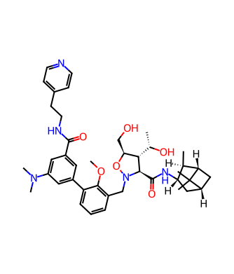 COc1c(CN2O[C@@H](CO)[C@H]([C@H](C)O)[C@H]2C(=O)N[C@H]2C[C@H]3C[C@@H]([C@@H]2C)C3(C)C)cccc1-c1cc(C(=O)NCCc2ccncc2)cc(N(C)C)c1